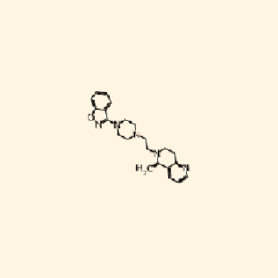 C=C1c2cccnc2CCN1CCN1CCN(c2noc3ccccc23)CC1